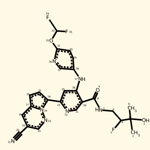 CC(C)(O)C(F)CNC(=O)c1cnc(-c2ccc3cc(C#N)cnn23)cc1Nc1ccc(OC(F)F)nc1